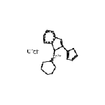 C1=CCC(C2=Cc3ccccc3[CH]2[Zr+2]=[C]2CCCCC2)=C1.[Cl-].[Cl-]